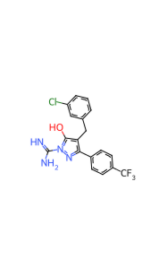 N=C(N)n1nc(-c2ccc(C(F)(F)F)cc2)c(Cc2cccc(Cl)c2)c1O